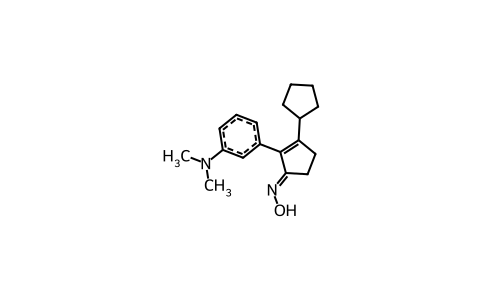 CN(C)c1cccc(C2=C(C3CCCC3)CC/C2=N\O)c1